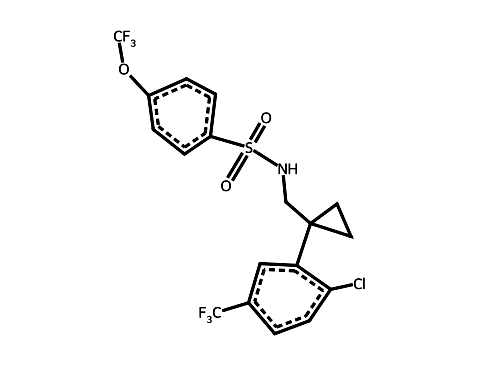 O=S(=O)(NCC1(c2cc(C(F)(F)F)ccc2Cl)CC1)c1ccc(OC(F)(F)F)cc1